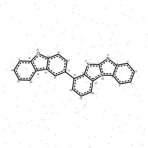 c1ccc2c(c1)nc1sc3c(-c4ccc5oc6ccccc6c5c4)cccc3n12